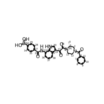 C[C@@H]1CN(C(=O)c2ccccc2)CCN1C(=O)C(=O)c1c[nH]c2c(NC(=O)c3ccc(B(O)O)cc3)cccc12